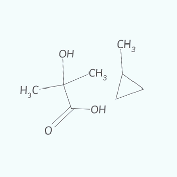 CC(C)(O)C(=O)O.CC1CC1